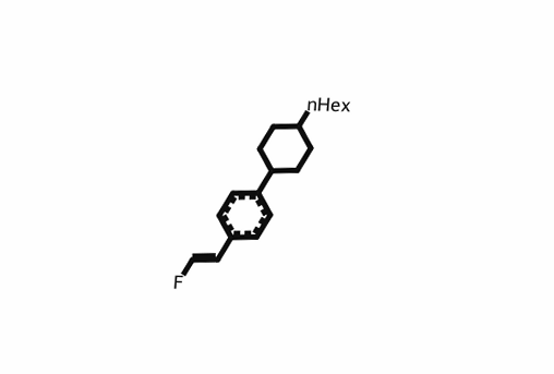 CCCCCCC1CCC(c2ccc(C=CF)cc2)CC1